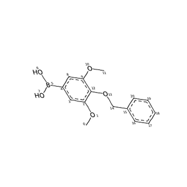 COc1cc(B(O)O)cc(OC)c1OCc1ccccc1